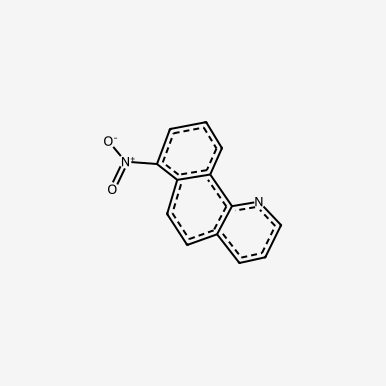 O=[N+]([O-])c1cccc2c1ccc1cccnc12